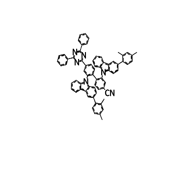 Cc1ccc(-c2ccc3c(c2)c2ccccc2n3-c2cc(C#N)ccc2-c2ccc(-c3nc(-c4ccccc4)nc(-c4ccccc4)n3)cc2-n2c3ccccc3c3cc(-c4ccc(C)cc4C)ccc32)c(C)c1